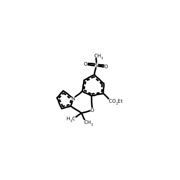 CCOC(=O)c1cc(S(C)(=O)=O)cc2c1OC(C)(C)c1cccn1-2